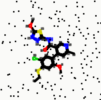 CCSc1cc(OC)c(-c2cc(C)ncc2C(=O)Nc2nnc(OC)s2)cc1Cl